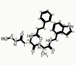 C[C@H](NC(=O)[C@H](CC(=O)NOC(C)(C)C)NC(=O)CCc1ccccc1)C(=O)NCc1cccc2[nH]ccc12